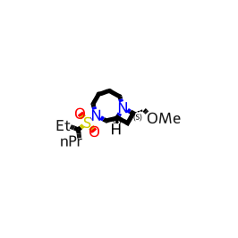 CCCC(CC)S(=O)(=O)N1CCCCN2[C@H](COC)C[C@@H]2C1